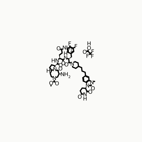 COC(=O)N1CC[C@H]2CC[C@@H](C(=O)N[C@@H](CCC(N)=O)C(=O)N[C@@H](Cc3ccc(F)c(F)c3)C(=O)N3CCC(CCCc4ccc5c(c4)n(C)c(=O)n5C4CCC(=O)NC4=O)CC3)N2C(=O)[C@@H](N)C1.O=C(O)C(F)(F)F